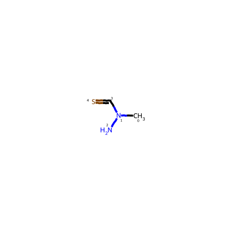 CN(N)C=S